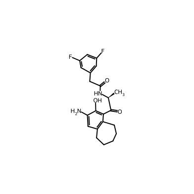 C[C@H](NC(=O)Cc1cc(F)cc(F)c1)C(=O)c1c(O)c(N)cc2c1CCCCC2